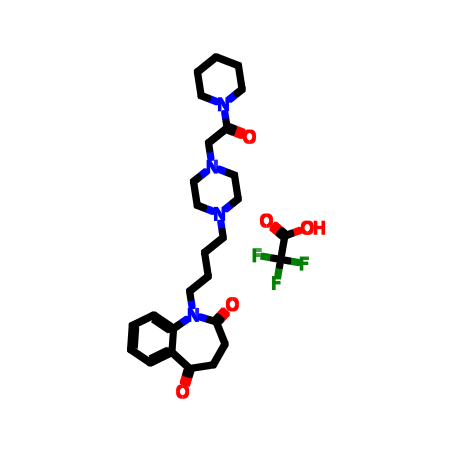 O=C(O)C(F)(F)F.O=C1CCC(=O)N(CCCCN2CCN(CC(=O)N3CCCCC3)CC2)c2ccccc21